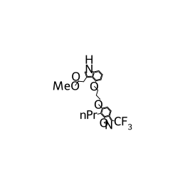 CCCc1c(OCCCOc2cccc3[nH]cc(CC(=O)OC)c23)ccc2c(C(F)(F)F)noc12